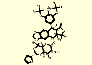 [2H]C([2H])([2H])Oc1cc([C@@H]2c3cc4c(cc3[C@@H](O[C@@H]3O[C@H]5[C@@H](O[C@H](c6cccs6)OC5([2H])[2H])[C@H](O)[C@H]3O)[C@@H]3[C@@H]2C(=O)OC3([2H])[2H])OCO4)cc(OC([2H])([2H])[2H])c1O